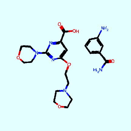 NC(=O)c1cccc(N)c1.O=C(O)c1cc(OCCN2CCOCC2)nc(N2CCOCC2)n1